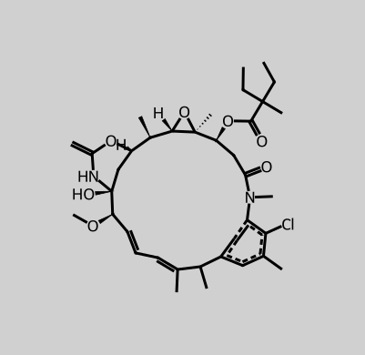 C=C1N[C@]2(O)C[C@H](O1)[C@@H](C)[C@@H]1O[C@@]1(C)[C@@H](OC(=O)C(C)(CC)CC)CC(=O)N(C)c1cc(cc(C)c1Cl)C(C)/C(C)=C/C=C/[C@H]2OC